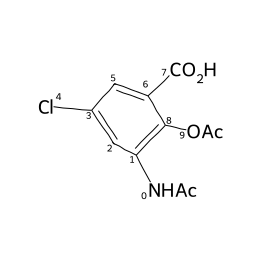 CC(=O)Nc1cc(Cl)cc(C(=O)O)c1OC(C)=O